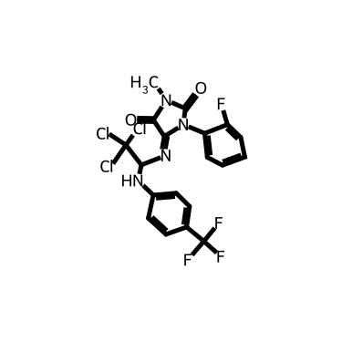 CN1C(=O)C(=NC(Nc2ccc(C(F)(F)F)cc2)C(Cl)(Cl)Cl)N(c2ccccc2F)C1=O